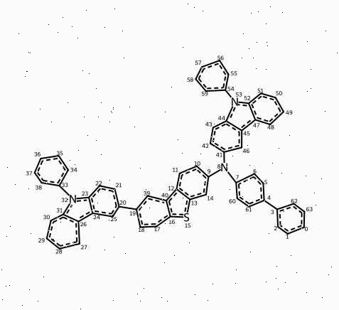 c1ccc(-c2ccc(N(c3ccc4c(c3)sc3ccc(-c5ccc6c(c5)c5ccccc5n6-c5ccccc5)cc34)c3ccc4c(c3)c3ccccc3n4-c3ccccc3)cc2)cc1